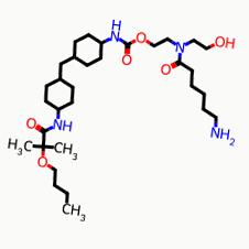 CCCCOC(C)(C)C(=O)NC1CCC(CC2CCC(NC(=O)OCCN(CCO)C(=O)CCCCCN)CC2)CC1